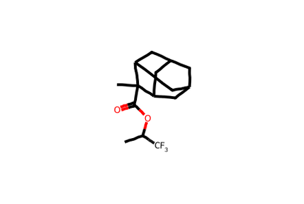 CC(OC(=O)C1(C)C2CC3CC(C2)CC1C3)C(F)(F)F